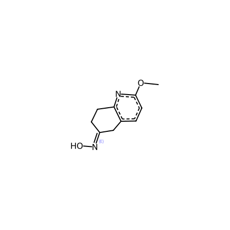 COc1ccc2c(n1)CC/C(=N\O)C2